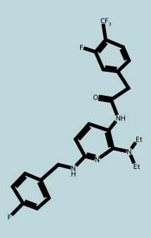 CCN(CC)c1nc(NCc2ccc(F)cc2)ccc1NC(=O)Cc1ccc(C(F)(F)F)c(F)c1